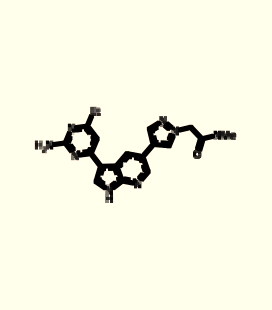 CCc1cc(-c2c[nH]c3ncc(-c4cnn(CC(=O)NC)c4)cc23)nc(N)n1